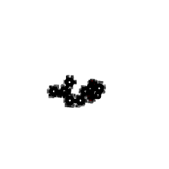 C1=C(c2ccccc2)N=C(c2cccc(-c3cccc(-c4ccc5c(c4)C4(c6ccccc6Oc6ccccc64)c4ncccc4-5)c3)c2)NC1c1ccccc1